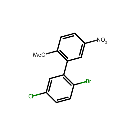 COc1[c]cc([N+](=O)[O-])cc1-c1cc(Cl)ccc1Br